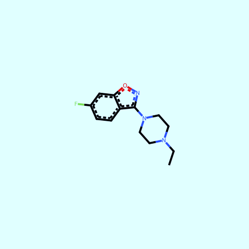 CCN1CCN(c2noc3cc(F)ccc23)CC1